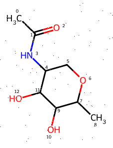 CC(=O)NC1COC(C)C(O)C1O